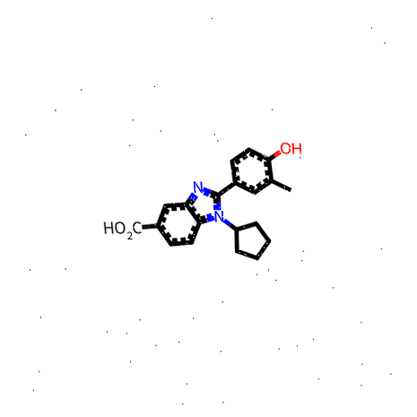 Cc1cc(-c2nc3cc(C(=O)O)ccc3n2C2CCCC2)ccc1O